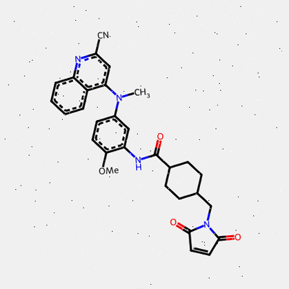 COc1ccc(N(C)c2cc(C#N)nc3ccccc23)cc1NC(=O)C1CCC(CN2C(=O)C=CC2=O)CC1